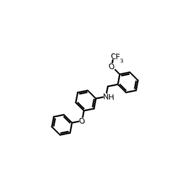 FC(F)(F)Oc1ccccc1CNc1cccc(Oc2ccccc2)c1